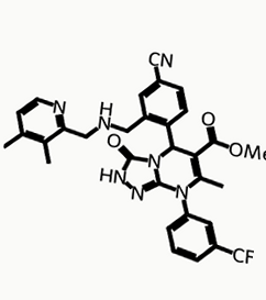 COC(=O)C1=C(C)N(c2cccc(C(F)(F)F)c2)c2n[nH]c(=O)n2C1c1ccc(C#N)cc1CNCc1nccc(C)c1C